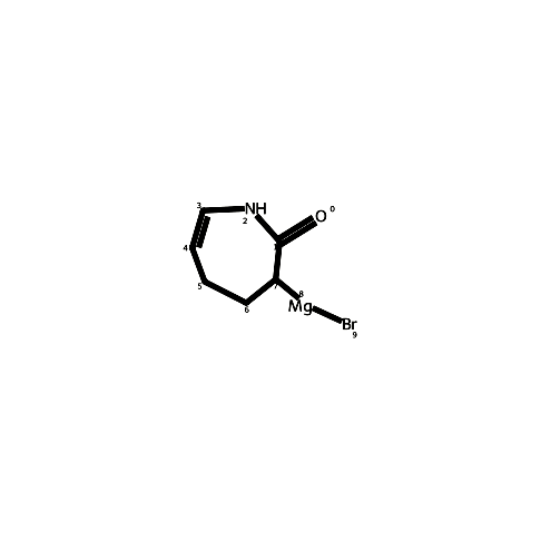 O=C1NC=CCC[CH]1[Mg][Br]